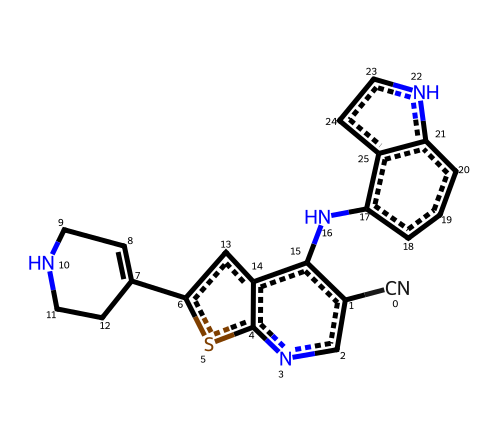 N#Cc1cnc2sc(C3=CCNCC3)cc2c1Nc1cccc2[nH]ccc12